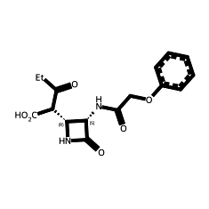 CCC(=O)C(C(=O)O)[C@H]1NC(=O)[C@H]1NC(=O)COc1ccccc1